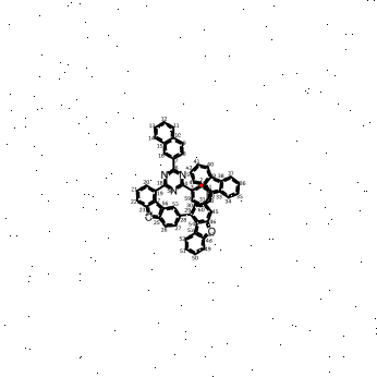 c1ccc(-c2nc(-c3ccc4ccccc4c3)nc(-c3cccc4oc5ccc(-c6cc(-n7c8ccccc8c8ccccc87)cc7oc8ccccc8c67)cc5c34)n2)cc1